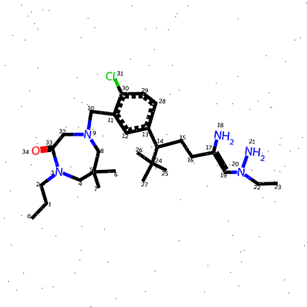 CCCN1CC(C)(C)CN(Cc2cc(C(CC/C(N)=C/N(N)CC)C(C)(C)C)ccc2Cl)CC1=O